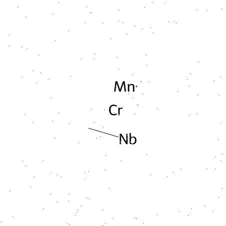 [CH3][Nb].[Cr].[Mn]